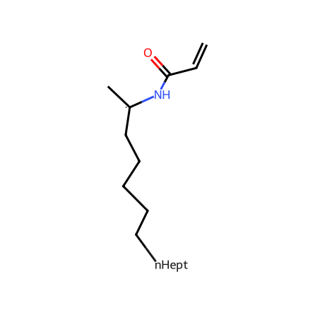 C=CC(=O)N[C](C)CCCCCCCCCCCC